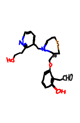 O=Cc1c(O)cccc1OC[C@@H]1CSCCN1Cc1cccnc1CCO